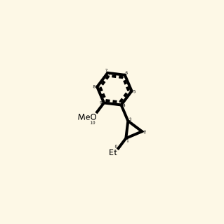 CCC1CC1c1ccccc1OC